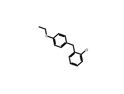 CCOc1ccc(Cc2c[c]ccc2Cl)cc1